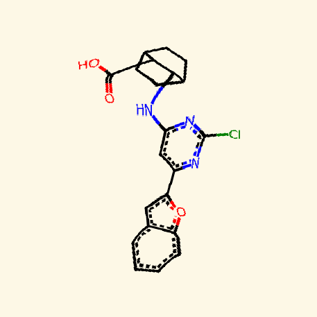 O=C(O)C1C2CCC(CC2)C1Nc1cc(-c2cc3ccccc3o2)nc(Cl)n1